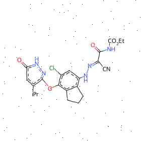 CCOC(=O)NC(=O)/C(C#N)=N/Nc1cc(Cl)c(Oc2n[nH]c(=O)cc2C(C)C)c2c1CCC2